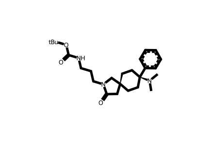 CN(C)[C@]1(c2ccccc2)CC[C@@]2(CC1)CC(=O)N(CCCNC(=O)OC(C)(C)C)C2